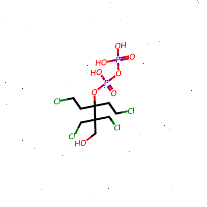 O=P(O)(O)OP(=O)(O)OC(CCCl)(CCCl)C(CO)(CCl)CCl